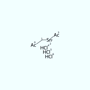 CC(=O)[CH2][Sn][C](C)=O.Cl.Cl.Cl